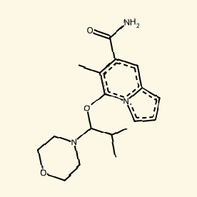 Cc1c(C(N)=O)cc2cccn2c1OC(C(C)C)N1CCOCC1